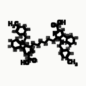 Cc1ccc(Cn2c3ccccc3c3cc(C(=O)O)nc(CCCCCCc4nc(C(=O)O)cc5c6ccccc6n(Cc6ccc(C)cc6)c45)c32)cc1